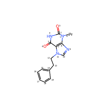 CC(C)n1c(=O)[nH]c(=O)c2c1ncn2CCc1ccccc1